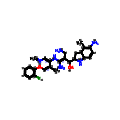 C=N/C=C(N/C(N)=C(\CN)C(O)C1CC2C(C)=C(N)C=CC2N1)\C(C)=C/Oc1ccccc1F